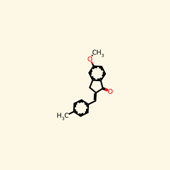 COc1ccc2c(c1)CC(=Cc1ccc(C)cc1)C2=O